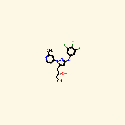 CC[C@H](O)Cc1cc(Nc2cc(F)c(F)c(F)c2)nn1-c1ccnc(C)c1